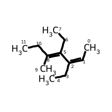 C/C=C(CC)\C(CC)=C(/C)CC